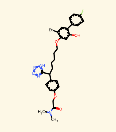 CCc1cc(-c2ccc(F)cc2)c(O)cc1OCCCCCC(c1ccc(OCC(=O)N(C)C)cc1)c1nnn[nH]1